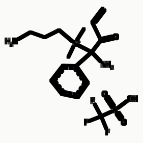 C=CC(=O)C(N)(c1ccccc1)[N+](C)(C)CCCN.O=S(=O)(O)C(F)(F)F